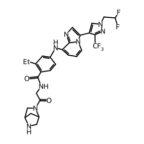 CCc1cc(Nc2cccn3c(-c4cn(CC(F)F)nc4C(F)(F)F)cnc23)ccc1C(=O)NCC(=O)N1CC2CC1CN2